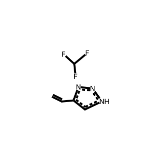 C=Cc1c[nH]nn1.FC(F)F